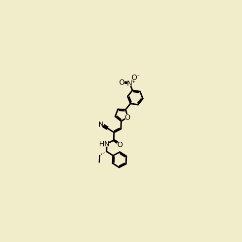 CC[C@H](NC(=O)/C(C#N)=C/c1ccc(-c2cccc([N+](=O)[O-])c2)o1)c1ccccc1